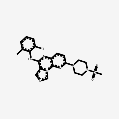 Cc1cccc(Cl)c1Nc1nc2ccc(N3CCN(S(C)(=O)=O)CC3)nc2n2cncc12